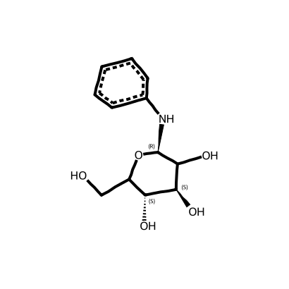 OCC1O[C@@H](Nc2ccccc2)C(O)[C@@H](O)[C@@H]1O